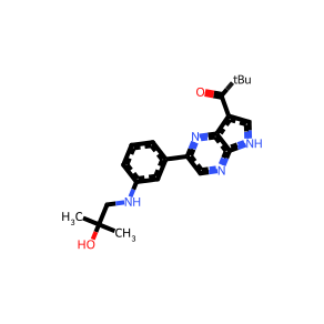 CC(C)(O)CNc1cccc(-c2cnc3[nH]cc(C(=O)C(C)(C)C)c3n2)c1